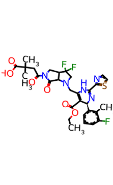 CCOC(=O)C1=C(CN2CC(F)(F)C3CN(C(=O)CC(C)(C)C(=O)O)C(=O)C32)NC(c2nccs2)=N[C@H]1c1cccc(F)c1C